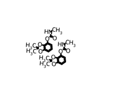 CNC(=O)Oc1cccc2c1OC(C)(C)O2.CNC(=O)Oc1cccc2c1OC(C)(C)O2